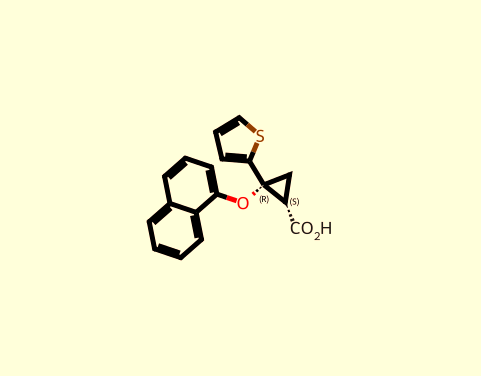 O=C(O)[C@H]1C[C@]1(Oc1cccc2ccccc12)c1cccs1